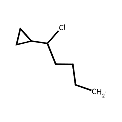 [CH2]CCCC(Cl)C1CC1